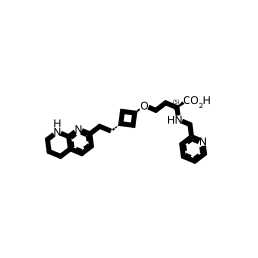 O=C(O)[C@H](CCO[C@H]1C[C@@H](CCc2ccc3c(n2)NCCC3)C1)NCc1ccccn1